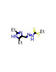 CCSC(=S)N/N=C/c1nc(CC)[nH]c1CC